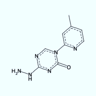 Cc1ccnc(-n2cnc(NN)nc2=O)c1